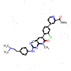 CNC(=O)c1cc(-c2ccc(-c3cc4cnc(Nc5ccc(CCN(C)C)cc5)nc4n(C)c3=O)c(Cl)c2)ccn1